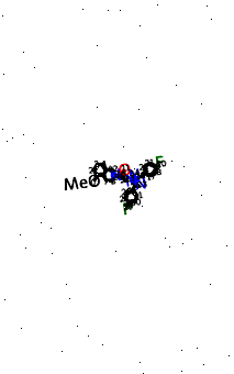 COc1cccc2c1CCN(C(=O)Cn1nc(-c3ccc(F)cc3)nc1-c1ccc(F)cc1)C2